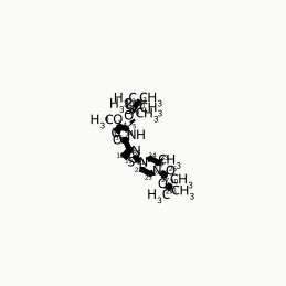 COC(=O)[C@H](CO[Si](C)(C)C(C)(C)C)NC(=O)c1csc(N2CCN(C(=O)OC(C)(C)C)[C@H](C)C2)n1